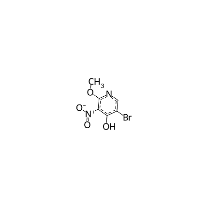 COc1ncc(Br)c(O)c1[N+](=O)[O-]